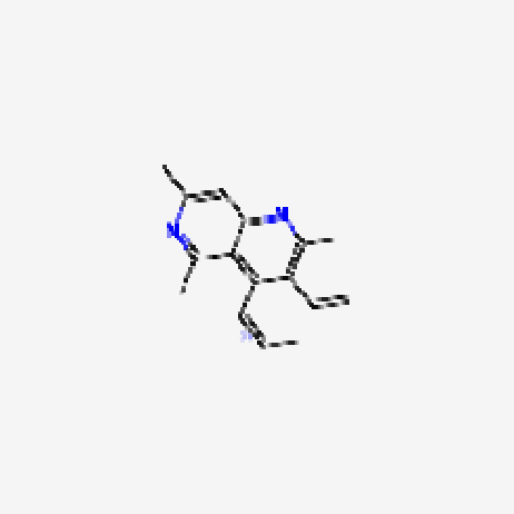 C=Cc1c(C)nc2cc(C)nc(C)c2c1/C=C\C